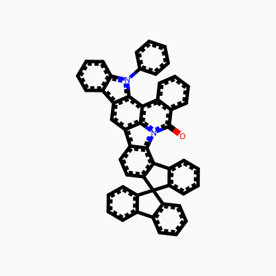 O=c1c2ccccc2c2c3c(cc4c5ccc6c(c5n1c42)-c1ccccc1C61c2ccccc2-c2ccccc21)c1ccccc1n3-c1ccccc1